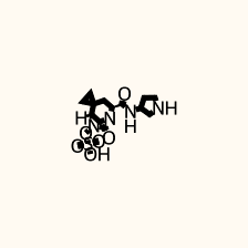 O=C(NC1CCNC1)[C@@H]1CC2(CC2)[C@@H]2CN1C(=O)N2OS(=O)(=O)O